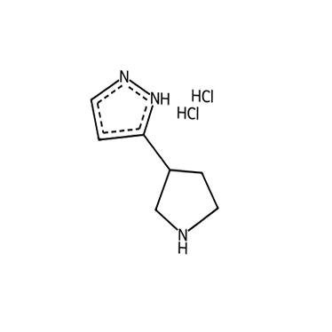 Cl.Cl.c1cc(C2CCNC2)[nH]n1